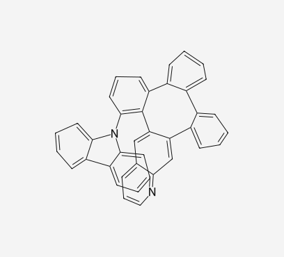 c1ccc2c(c1)-c1ccccc1-c1cccc(-n3c4ccccc4c4ccccc43)c1-c1cc3cccnc3cc1-2